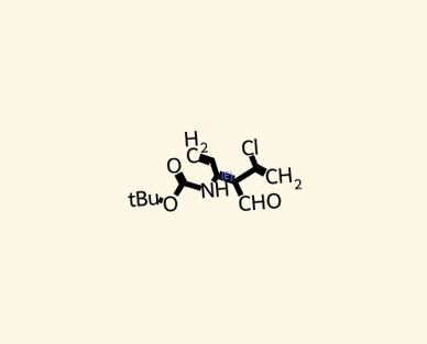 C=C/C(NC(=O)OC(C)(C)C)=C(/C=O)C(=C)Cl